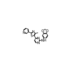 Cc1nc(-c2cccnc2)sc1-c1ccnc(Nc2ccc3c(c2)OCO3)n1